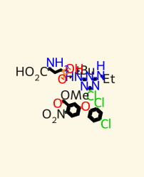 CCNc1nc(Cl)nc(NC(C)(C)C)n1.COC(=O)c1cc(Oc2ccc(Cl)cc2Cl)ccc1[N+](=O)[O-].CP(=O)(O)CCC(N)C(=O)O